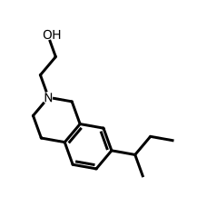 CCC(C)c1ccc2c(c1)CN(CCO)CC2